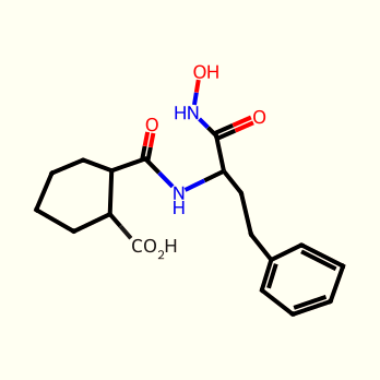 O=C(NO)C(CCc1ccccc1)NC(=O)C1CCCCC1C(=O)O